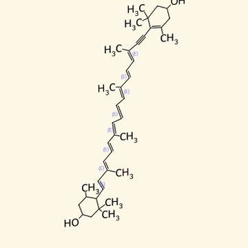 CC1=C(C#C/C(C)=C/C=C/C(C)=C/C=C/C=C(C)/C=C/C=C(C)/C=C/C2C(C)CC(O)CC2(C)C)C(C)(C)CC(O)C1